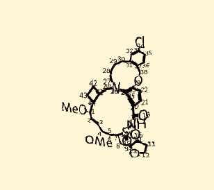 CO[C@H]1/C=C/C[C@@H](OC)[C@H](C[C@H]2CCCO2)S(=O)(=O)NC(=O)c2ccc3c(c2)N(CCCCc2cc(Cl)ccc2CO3)CC2CCC21